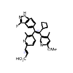 COc1cc(C)c(/C(=C(/c2ccc3[nH]nc(F)c3c2)c2ccc(/C=C/C(=O)O)nc2C)C2CCC2)cn1